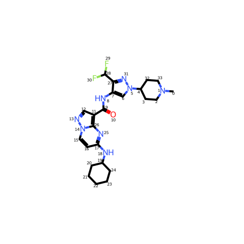 CN1CCC(n2cc(NC(=O)c3cnn4ccc(NC5CCCCC5)nc34)c(C(F)F)n2)CC1